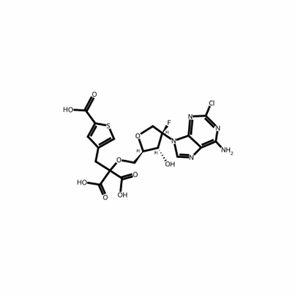 Nc1nc(Cl)nc2c1ncn2[C@@]1(F)CO[C@H](COC(Cc2csc(C(=O)O)c2)(C(=O)O)C(=O)O)[C@H]1O